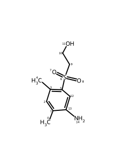 Cc1cc(C)c(S(=O)(=O)CCO)cc1N